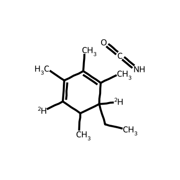 N=C=O.[2H]C1=C(C)C(C)=C(C)C([2H])(CC)C1C